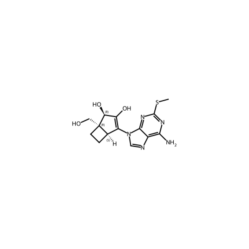 CSc1nc(N)c2ncn(C3=C(O)[C@H](O)[C@]4(CO)CC[C@H]34)c2n1